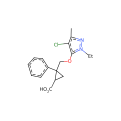 CCn1nc(C)c(Cl)c1OCC1(c2ccccc2)CC1C(=O)O